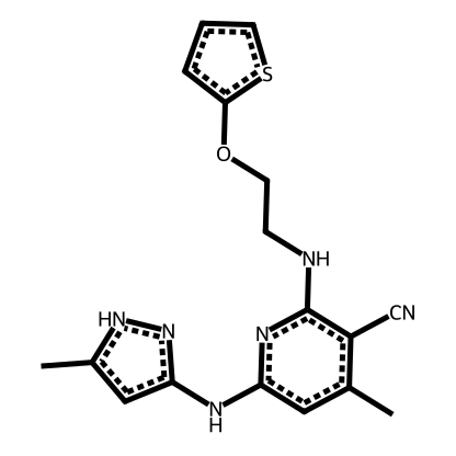 Cc1cc(Nc2cc(C)c(C#N)c(NCCOc3cccs3)n2)n[nH]1